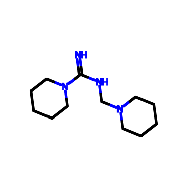 N=C(NCN1CCCCC1)N1CCCCC1